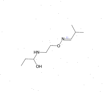 CCC(O)NCCO/N=C/C(C)C